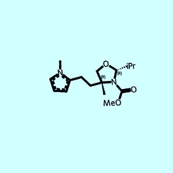 COC(=O)N1[C@@H](C(C)C)OC[C@@]1(C)CCc1cccn1C